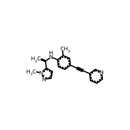 C=C(Nc1ccc(C#Cc2cccnc2)cc1C)c1ccnn1C